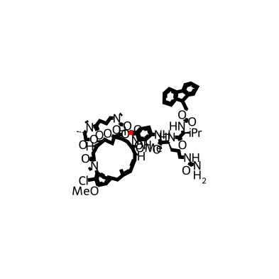 COc1cc2cc(c1Cl)N(C)C(=O)C[C@H](OC(=O)[C@H](C)N(C)C(=O)CCCN(C)C(=O)OCc1ccc(NC(=O)[C@H](CCCNC(N)=O)NC(=O)[C@@H](NC(=O)OCC3c4ccccc4-c4ccccc43)C(C)C)cc1)[C@@]1(C)CC(C)(O1)[C@@H]1C[C@@](O)(NC(=O)O1)[C@H](OC)/C=C/C=C(\C)C2